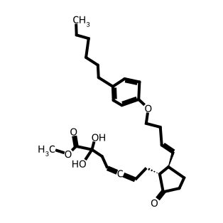 CCCCCCc1ccc(OCC/C=C/[C@H]2CCC(=O)[C@@H]2CC=C=CCC(O)(O)C(=O)OC)cc1